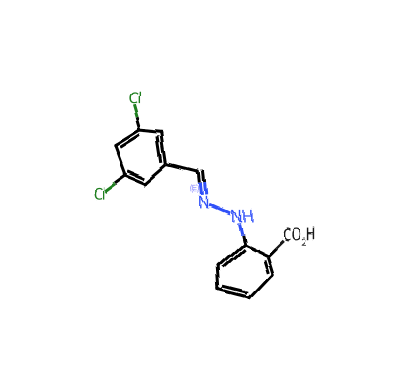 O=C(O)c1ccccc1N/N=C/c1cc(Cl)cc(Cl)c1